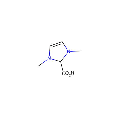 CN1C=CN(C)C1C(=O)O